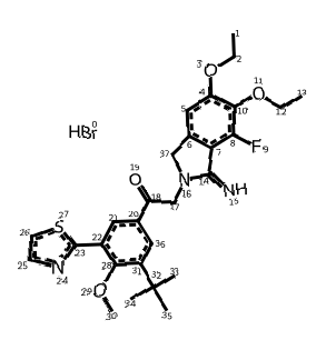 Br.CCOc1cc2c(c(F)c1OCC)C(=N)N(CC(=O)c1cc(-c3nccs3)c(OC)c(C(C)(C)C)c1)C2